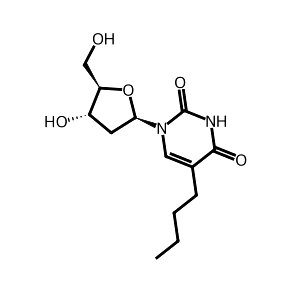 CCCCc1cn([C@H]2C[C@H](O)[C@@H](CO)O2)c(=O)[nH]c1=O